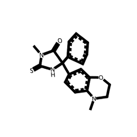 CN1C(=O)C(c2ccccc2)(c2ccc3c(c2)OCCN3C)NC1=S